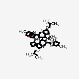 CCC(C)COc1ccc(-c2c3/c(=C(\C#N)c4nc5cc(C)ccc5s4)n(B(c4ccccc4)c4ccccc4)c(-c4ccc(OCC(C)CC)cc4)c3/c(=C(\C#N)c3nc4cc(C)ccc4s3)n2B(C)C)cc1